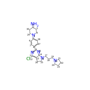 NC1CCN(c2ccc(-c3nc(Cl)c4c(n3)N(CCCN3CCCC3)CC4)cc2)CC1